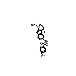 CCCN1CCC[C@H]2C1=CC1=C2CC(NS(=O)(=O)c2ccc(C(C)C)cc2)C=C1